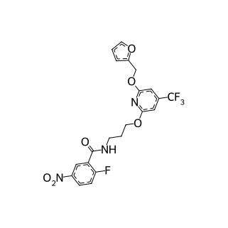 O=C(NCCCOc1cc(C(F)(F)F)cc(OCc2ccco2)n1)c1cc([N+](=O)[O-])ccc1F